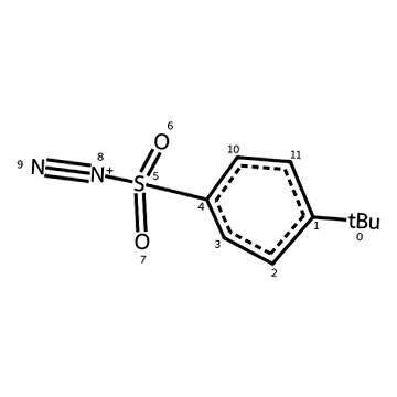 CC(C)(C)c1ccc(S(=O)(=O)[N+]#N)cc1